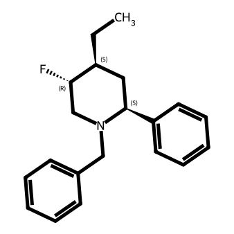 CC[C@H]1C[C@@H](c2ccccc2)N(Cc2ccccc2)C[C@@H]1F